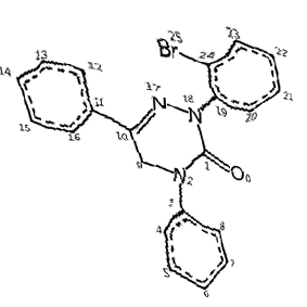 O=C1N(c2ccccc2)CC(c2ccccc2)=NN1c1ccccc1Br